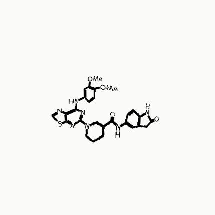 COc1ccc(Nc2nc(N3CCCC(C(=O)Nc4ccc5c(c4)CC(=O)N5)C3)nc3scnc23)cc1OC